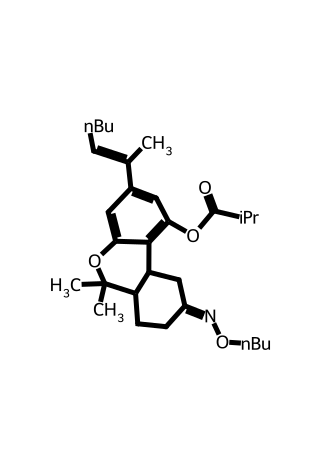 CCCCC=C(C)c1cc(OC(=O)C(C)C)c2c(c1)OC(C)(C)C1CCC(=NOCCCC)CC21